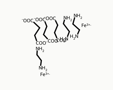 NCCN.NCCN.NCCN.O=C([O-])CCC(=O)[O-].O=C([O-])CCC(=O)[O-].O=C([O-])CCC(=O)[O-].[Fe+3].[Fe+3]